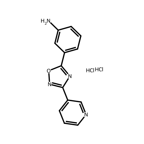 Cl.Cl.Nc1cccc(-c2nc(-c3cccnc3)no2)c1